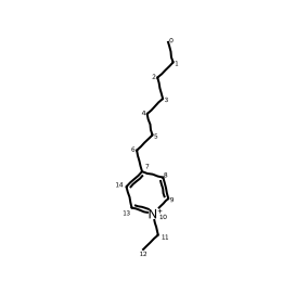 CCCCCCCc1cc[n+](CC)cc1